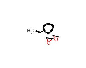 C1CO1.C1CO1.C=Cc1ccccc1